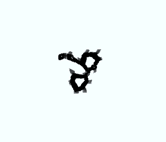 O=CC1CC=CON1c1ccccc1